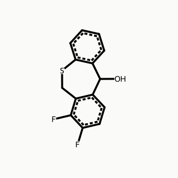 OC1c2ccccc2SCc2c1ccc(F)c2F